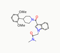 COc1cccc(OC)c1C1CCN(C(=O)c2cn(CC(=O)N(C)C)c3ccccc23)CC1